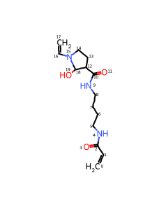 C=CC(=O)NCCCCNC(=O)C1CCN(C=C)C1O